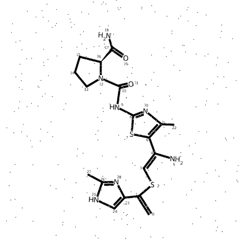 C=C(S/C=C(\N)c1sc(NC(=O)N2CCC[C@H]2C(N)=O)nc1C)c1c[nH]c(C)n1